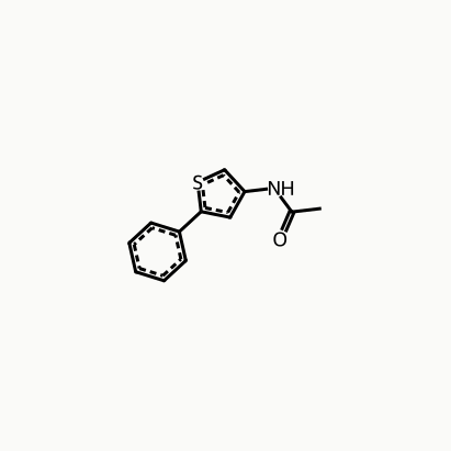 CC(=O)Nc1csc(-c2ccccc2)c1